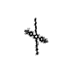 C#CC#CC#CC#Cc1cc(-c2ccc([Si](C)(C)C)cc2)c(C#CC#CC#CC#C)cc1-c1ccc([Si](C)(C)C)cc1